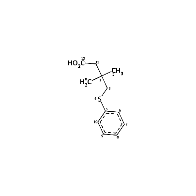 CC(C)(CSc1ccccc1)CC(=O)O